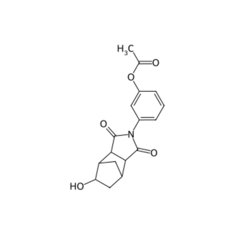 CC(=O)Oc1cccc(N2C(=O)C3C4CC(O)C(C4)C3C2=O)c1